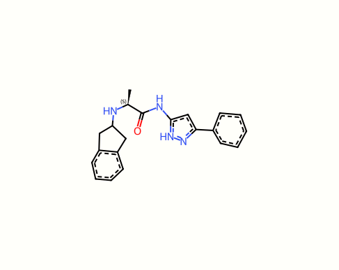 C[C@H](NC1Cc2ccccc2C1)C(=O)Nc1cc(-c2ccccc2)n[nH]1